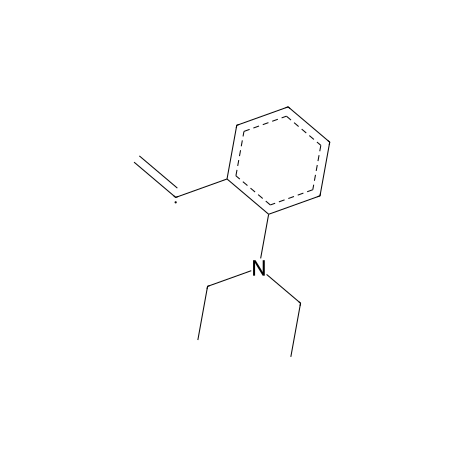 C=[C]c1ccccc1N(CC)CC